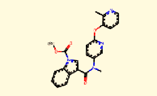 Cc1ncccc1Oc1ccc(N(C)C(=O)c2cn(C(=O)OC(C)(C)C)c3ccccc23)cn1